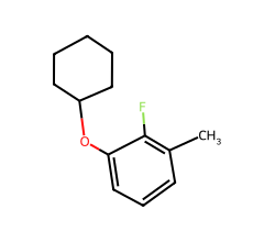 Cc1cccc(OC2CCCCC2)c1F